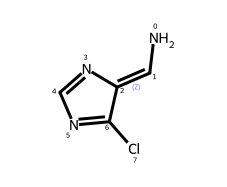 N/C=C1\N=CN=C1Cl